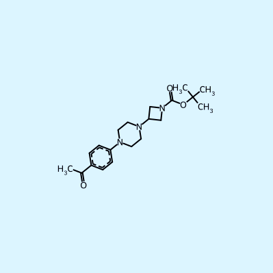 CC(=O)c1ccc(N2CCN(C3CN(C(=O)OC(C)(C)C)C3)CC2)cc1